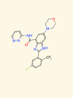 O=C(Nc1cccnn1)c1cc(N2CCOCC2)cc2[nH]c(-c3cc(F)ccc3C(F)(F)F)nc12